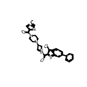 O=C(c1cscn1)N1CCN(C2CN(C(=O)c3sc4cc(-c5ccccc5)ccc4c3Cl)C2)CC1